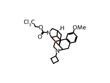 COc1ccc2c(c1)C13CCN(C4CCC4)C(C2)C12CCC1C3[C@@H](CN1C(=O)OCC(Cl)(Cl)Cl)C2